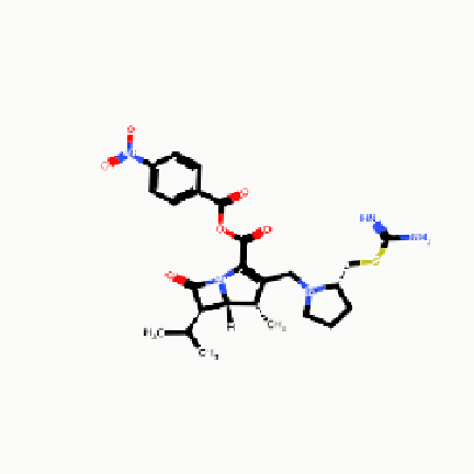 CC(C)[C@H]1C(=O)N2C(C(=O)OC(=O)c3ccc([N+](=O)[O-])cc3)=C(CN3CCC[C@H]3CSC(=N)N)[C@H](C)[C@H]12